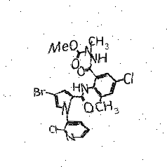 COC(=O)N(C)NC(=O)c1cc(Cl)cc(C)c1NC(=O)c1cc(Br)cn1-c1cccnc1Cl